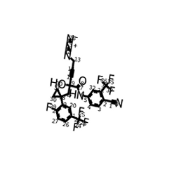 N#Cc1ccc(NC(=O)C(O)(C#CCN=[N+]=[N-])CC2(c3cc(C(F)(F)F)ccc3F)CC2)cc1C(F)(F)F